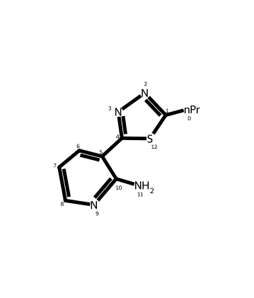 CCCc1nnc(-c2cccnc2N)s1